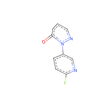 O=c1cccnn1-c1ccc(F)nc1